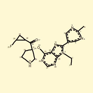 CCn1c(-c2cnc(C)nc2)nc2c(O[C@@]3(C(=O)C4CC4F)CCNC3)ncnc21